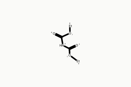 CCOC(=O)NC(=O)OCC